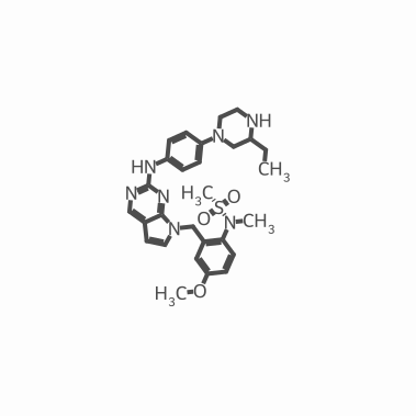 CCC1CN(c2ccc(Nc3ncc4ccn(Cc5cc(OC)ccc5N(C)S(C)(=O)=O)c4n3)cc2)CCN1